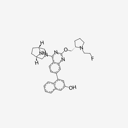 Oc1cc(-c2ccc3c(N4C[C@H]5CC[C@@H](C4)N5)nc(OC[C@@H]4CCCN4CCF)nc3c2)c2ccccc2c1